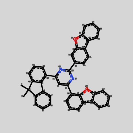 CC1(C)c2ccccc2-c2c(-c3cc(-c4cccc5c4oc4ccccc45)nc(-c4ccc5c(c4)oc4ccccc45)n3)cccc21